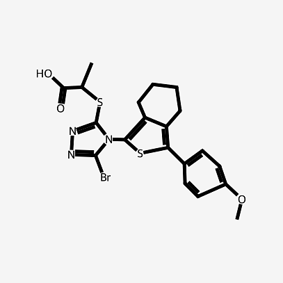 COc1ccc(-c2sc(-n3c(Br)nnc3SC(C)C(=O)O)c3c2CCCC3)cc1